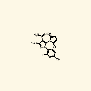 Cc1nn(-c2ccc(O)cc2F)c(-n2c(C)ccc2C)c1C(=N)N